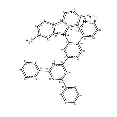 Cc1ccc2c3ccc(C)cc3n(-c3cc(-c4nc(-c5ccccc5)nc(-c5ccccc5)n4)ccc3-c3cccnc3)c2c1